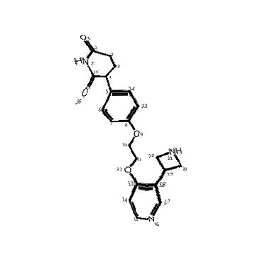 O=C1CCC(c2ccc(OCCOc3ccncc3C3CNC3)cc2)C(=O)N1